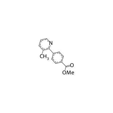 COC(=O)c1ccc(-c2ncccc2C)cc1